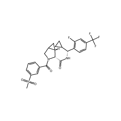 CS(=O)(=O)c1cccc(C(=O)N2CC3C[C@@H]3[C@@H]2C(=O)N[C@@H](c2ccc(C(F)(F)F)cc2F)C2CC2)c1